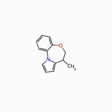 CC1COc2ccccc2-n2cccc21